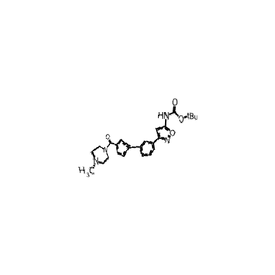 CN1CCN(C(=O)c2ccc(-c3cccc(-c4cc(NC(=O)OC(C)(C)C)on4)c3)cc2)CC1